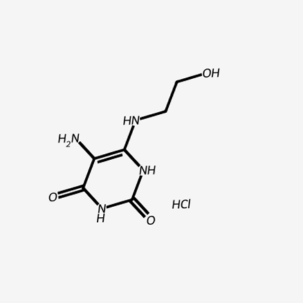 Cl.Nc1c(NCCO)[nH]c(=O)[nH]c1=O